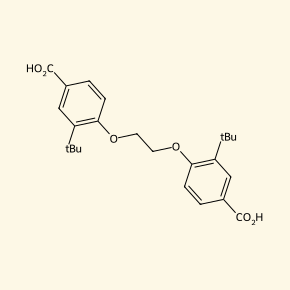 CC(C)(C)c1cc(C(=O)O)ccc1OCCOc1ccc(C(=O)O)cc1C(C)(C)C